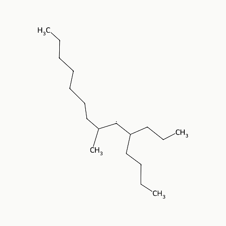 CCCCCCCC(C)[CH]C(CCC)CCCC